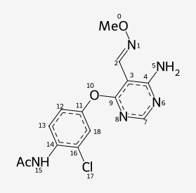 CO/N=C/c1c(N)ncnc1Oc1ccc(NC(C)=O)c(Cl)c1